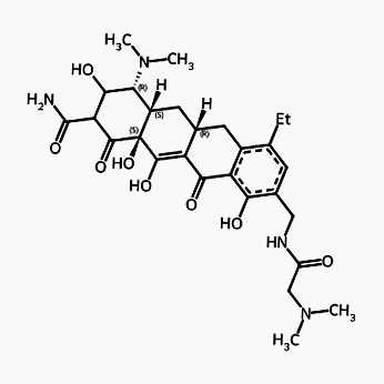 CCc1cc(CNC(=O)CN(C)C)c(O)c2c1C[C@H]1C[C@H]3[C@@H](N(C)C)C(O)C(C(N)=O)C(=O)[C@@]3(O)C(O)=C1C2=O